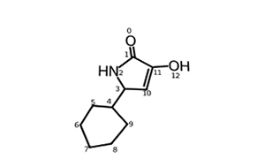 O=C1NC(C2CCCCC2)C=C1O